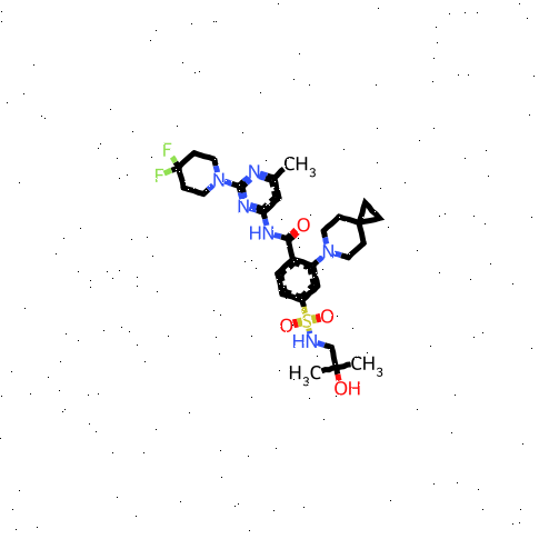 Cc1cc(NC(=O)c2ccc(S(=O)(=O)NCC(C)(C)O)cc2N2CCC3(CC2)CC3)nc(N2CCC(F)(F)CC2)n1